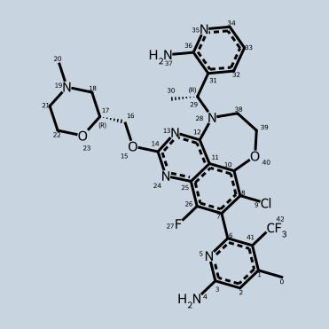 Cc1cc(N)nc(-c2c(Cl)c3c4c(nc(OC[C@H]5CN(C)CCO5)nc4c2F)N([C@H](C)c2cccnc2N)CCO3)c1C(F)(F)F